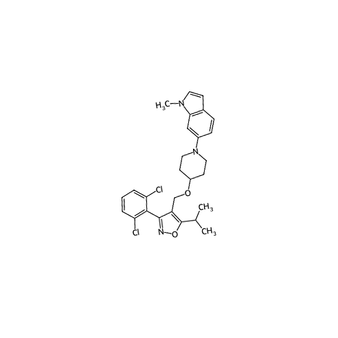 CC(C)c1onc(-c2c(Cl)cccc2Cl)c1COC1CCN(c2ccc3ccn(C)c3c2)CC1